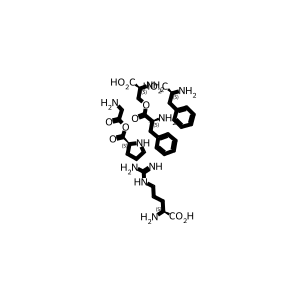 N=C(N)NCCC[C@H](N)C(=O)O.NCC(=O)OC(=O)[C@@H]1CCCN1.N[C@@H](COC(=O)[C@@H](N)Cc1ccccc1)C(=O)O.N[C@@H](Cc1ccccc1)C(=O)O